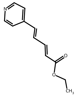 CCOC(=O)C=CC=Cc1ccncc1